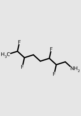 CC(F)C(F)CCC(F)C(F)CN